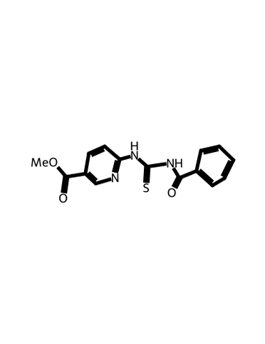 COC(=O)c1ccc(NC(=S)NC(=O)c2ccccc2)nc1